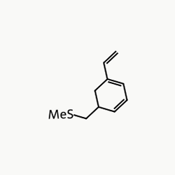 C=CC1=CC=CC(CSC)C1